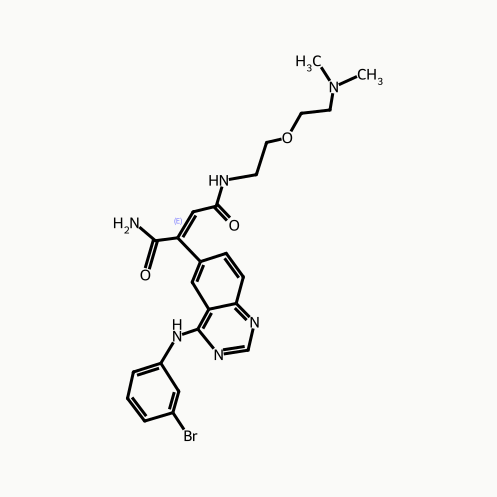 CN(C)CCOCCNC(=O)/C=C(/C(N)=O)c1ccc2ncnc(Nc3cccc(Br)c3)c2c1